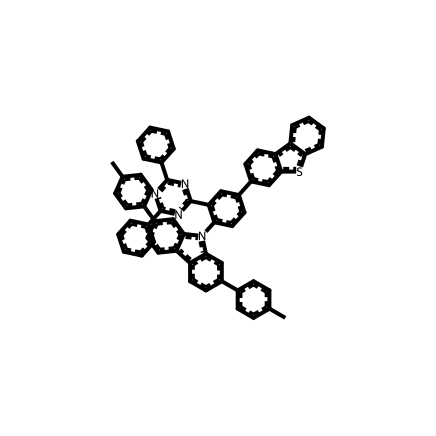 Cc1ccc(-c2ccc3c4ccc(-c5ccc(C)cc5)cc4n(-c4ccc(-c5ccc6c(c5)sc5ccccc56)cc4-c4nc(-c5ccccc5)nc(-c5ccccc5)n4)c3c2)cc1